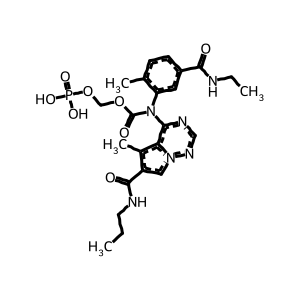 CCCNC(=O)c1cn2ncnc(N(C(=O)OCOP(=O)(O)O)c3cc(C(=O)NCC)ccc3C)c2c1C